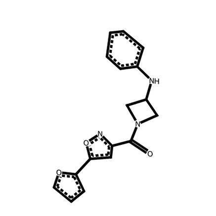 O=C(c1cc(-c2ccco2)on1)N1CC(Nc2ccccc2)C1